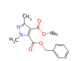 Cc1nn(C)c(C(=O)OCc2ccccc2)c1C(=O)OC(C)(C)C